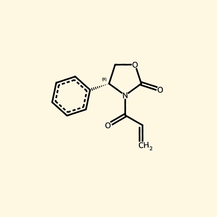 C=CC(=O)N1C(=O)OC[C@H]1c1ccccc1